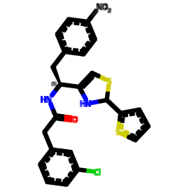 O=C(Cc1cccc(Cl)c1)N[C@@H](Cc1ccc([N+](=O)[O-])cc1)C1=CSC(c2cccs2)N1